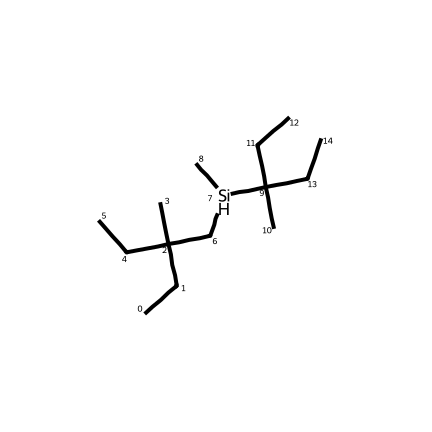 CCC(C)(CC)C[SiH](C)C(C)(CC)CC